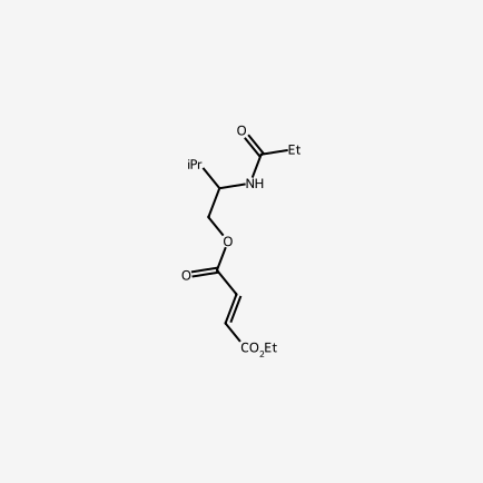 CCOC(=O)/C=C/C(=O)OCC(NC(=O)CC)C(C)C